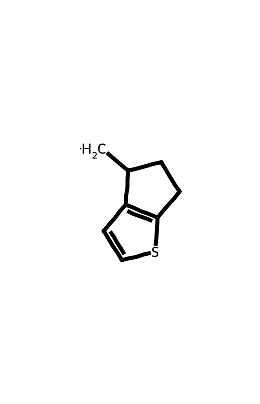 [CH2]C1CCc2sccc21